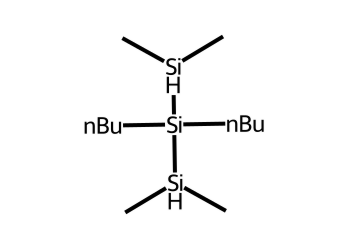 CCCC[Si](CCCC)([SiH](C)C)[SiH](C)C